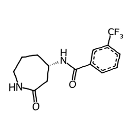 O=C1C[C@@H](NC(=O)c2cccc(C(F)(F)F)c2)CCCN1